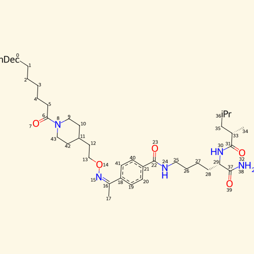 CCCCCCCCCCCCCCCC(=O)N1CCC(CCO/N=C(/C)c2ccc(C(=O)NCCCC[C@H](NC(=O)[C@@H](C)CC(C)C)C(N)=O)cc2)CC1